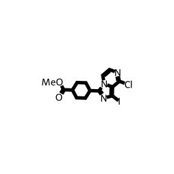 COC(=O)C1CCC(c2nc(I)c3c(Cl)nccn23)CC1